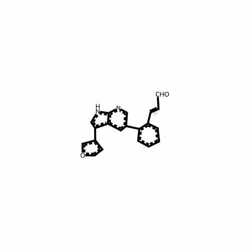 O=C/C=C/c1ccccc1-c1cnc2[nH]cc(-c3ccoc3)c2c1